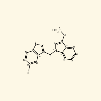 O=C(O)Cc1cn(Cc2csc3ccc(F)cc23)c2ccccc12